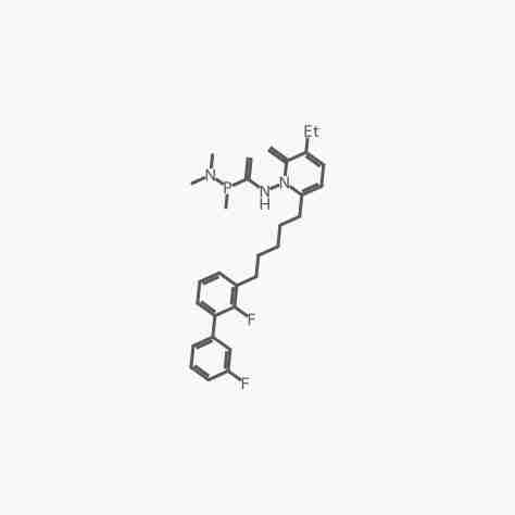 C=C1C(CC)=CC=C(CCCCCc2cccc(-c3cccc(F)c3)c2F)N1NC(=C)P(C)N(C)C